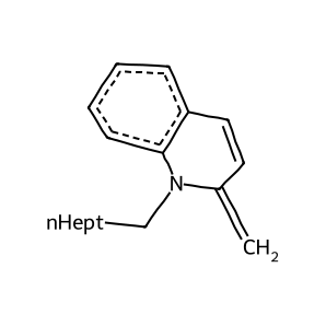 C=C1C=Cc2ccccc2N1CCCCCCCC